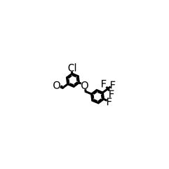 O=Cc1cc(Cl)cc(OCc2ccc(F)c(C(F)(F)F)c2)c1